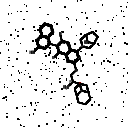 C[C@@H](COc1nc(N2CC3CCC(C2)N3)c2cc(Cl)c(-c3cc(O)cc4ccccc34)c(F)c2n1)CN1C2CCCC1COC2